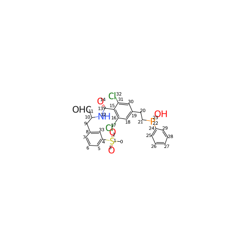 CS(=O)(=O)c1cccc(CC(C=O)NC(=O)c2c(Cl)cc(CCP(O)c3ccccc3)cc2Cl)c1